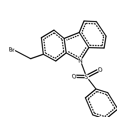 O=S(=O)(c1ccccc1)n1c2ccccc2c2ccc(CBr)cc21